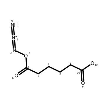 N=[N+]=NOC(=O)CCCCC(=O)[O-]